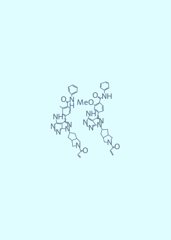 C=CC(=O)N1CC2CC(n3nc(-c4ccc(C(=O)Nc5ccccc5)c(C)c4)c4c(N)ncnc43)CC2C1.C=CC(=O)N1CC2CC(n3nc(-c4ccc(C(=O)Nc5ccccc5)c(OC)c4)c4c(N)ncnc43)CC2C1